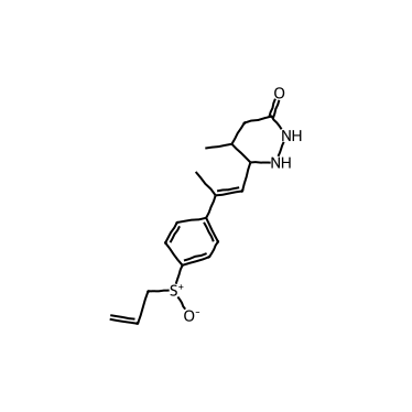 C=CC[S+]([O-])c1ccc(/C(C)=C/C2NNC(=O)CC2C)cc1